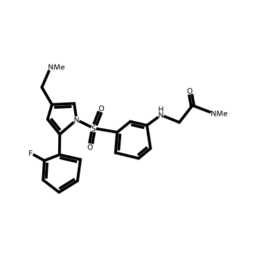 CNCc1cc(-c2ccccc2F)n(S(=O)(=O)c2cccc(NCC(=O)NC)c2)c1